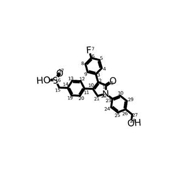 O=C1C(c2ccc(F)cc2)=C(c2ccc(CS(=O)O)cc2)CN1c1ccc(CO)cc1